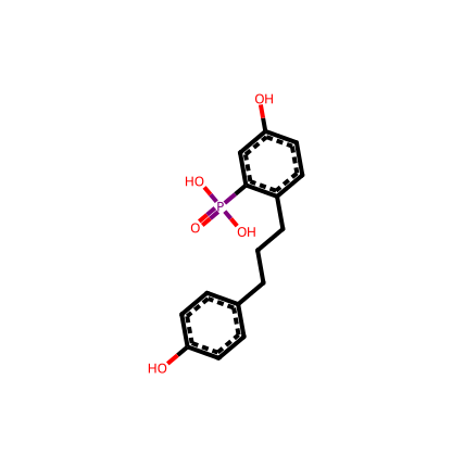 O=P(O)(O)c1cc(O)ccc1CCCc1ccc(O)cc1